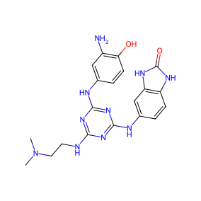 CN(C)CCNc1nc(Nc2ccc(O)c(N)c2)nc(Nc2ccc3[nH]c(=O)[nH]c3c2)n1